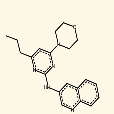 CCCc1cc(N2CCOCC2)nc(Nc2cnc3ccccc3c2)n1